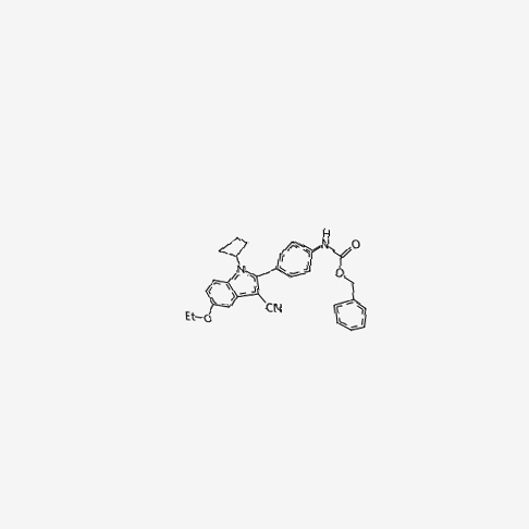 CCOc1ccc2c(c1)c(C#N)c(-c1ccc(NC(=O)OCc3ccccc3)cc1)n2C1CCC1